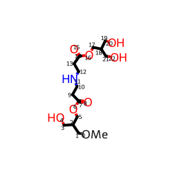 COCC(CO)COC(=O)CCNCCC(=O)OCC(CO)CO